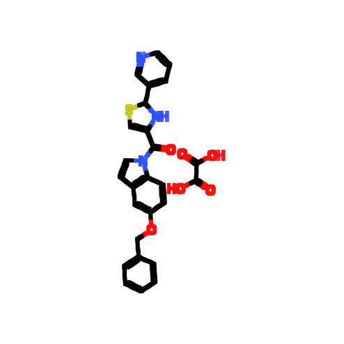 O=C(C1=CSC(c2cccnc2)N1)n1ccc2cc(OCc3ccccc3)ccc21.O=C(O)C(=O)O